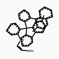 CN/C=C\Nc1ccccc1C1(c2ccccc2-c2c(C)ccc3ccccc23)c2ccccc2-c2ccc(C)cc21